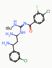 CC(C)(C)N/C(=N/C(=O)c1ccc(Cl)c(F)c1)NC(N)CC(N)c1cccc(Cl)c1